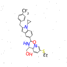 CCSc1ccc(C(CO)NC(=O)c2ccc3c(c2)cc(Cc2ccc(C(F)(F)F)cc2)n3C2CC2)nc1